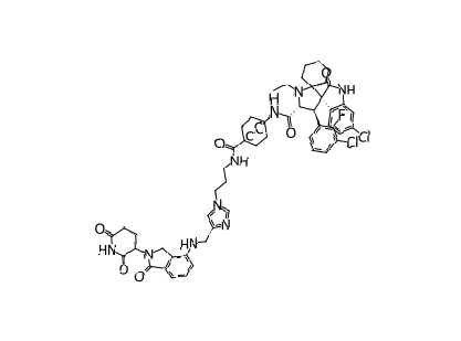 CCN1[C@@H](C(=O)NC23CCC(C(=O)NCCCn4cnc(CNc5cccc6c5CN(C5CCC(=O)NC5=O)C6=O)c4)(CC2)CC3)[C@H](c2cccc(Cl)c2F)[C@]2(C(=O)Nc3cc(Cl)ccc32)C12CCCCC2